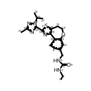 CCNC(=O)NCc1ccc2c(c1)OCCc1sc(-c3nc(C)nn3C(C)C)nc1-2